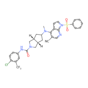 CN(c1c(C#N)cnc2c1ccn2S(=O)(=O)c1ccccc1)C1C[C@@H]2CN(C(=O)Nc3ccc(Cl)c(C(F)(F)F)c3)C[C@@H]2C1